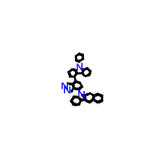 c1ccc(-n2c3ccccc3c3c(-c4ccc(-n5c6ccccc6c6cc7ccccc7cc65)c5cnncc45)cccc32)cc1